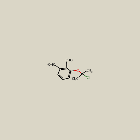 CC(Cl)(Oc1cccc([C]=O)c1[C]=O)C(Cl)(Cl)Cl